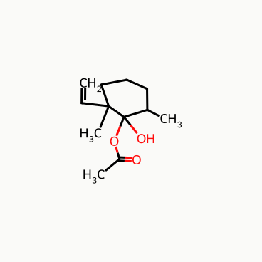 C=CC1(C)CCCC(C)C1(O)OC(C)=O